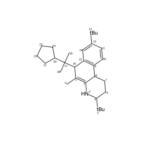 CC1=C2NC(C(C)(C)C)CCC2c2ccc(C(C)(C)C)cc2C1C(C)(C)C1CCCC1